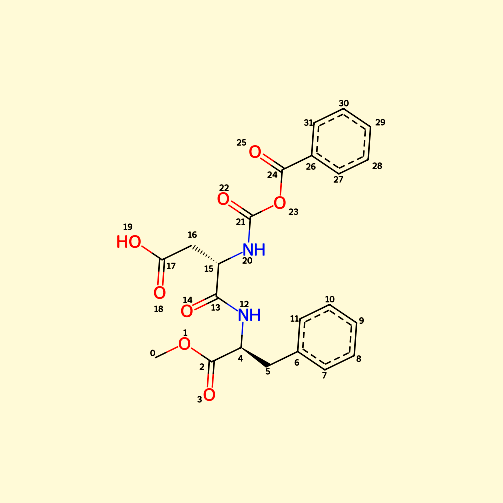 COC(=O)[C@H](Cc1ccccc1)NC(=O)[C@H](CC(=O)O)NC(=O)OC(=O)c1ccccc1